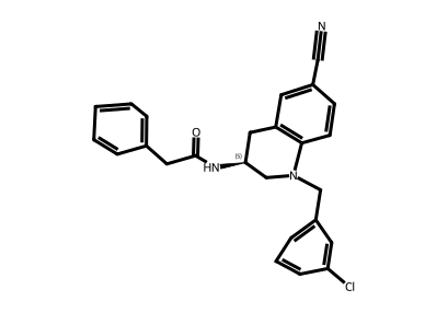 N#Cc1ccc2c(c1)C[C@H](NC(=O)Cc1ccccc1)CN2Cc1cccc(Cl)c1